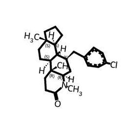 CN1C(=O)CC[C@]2(C)[C@H]3CC[C@]4(C)CCC[C@H]4[C@@H]3[C@@H](Cc3ccc(Cl)cc3)C[C@@H]12